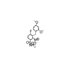 COc1ccc(Cc2c(F)ccc(S(N)(=O)=O)c2[N+](=O)[O-])c(OC)c1